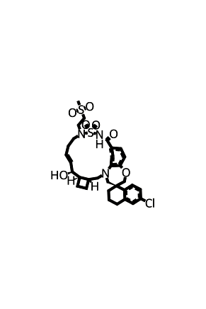 CS(=O)(=O)CCN1CC/C=C/[C@H](O)[C@@H]2CC[C@H]2CN2C[C@@]3(CCCc4cc(Cl)ccc43)COc3ccc(cc32)C(=O)NS1(=O)=O